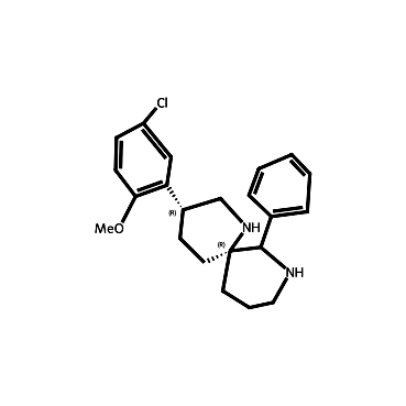 COc1ccc(Cl)cc1[C@H]1CC[C@]2(CCCNC2c2ccccc2)NC1